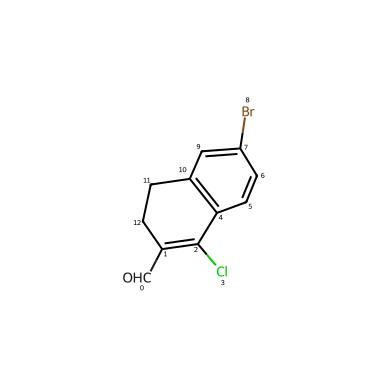 O=CC1=C(Cl)c2ccc(Br)cc2CC1